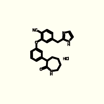 Cl.N#Cc1ccc(Cc2ncc[nH]2)cc1Oc1cccc(C2CCCCNC2=O)c1